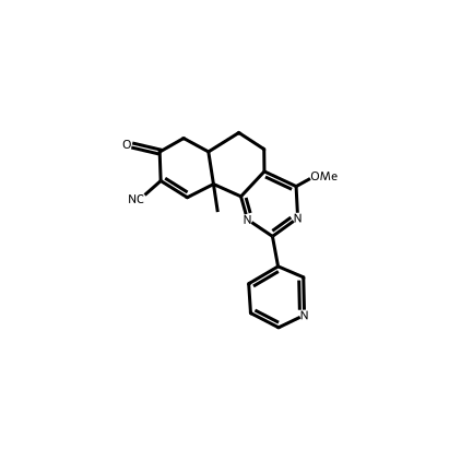 COc1nc(-c2cccnc2)nc2c1CCC1CC(=O)C(C#N)=CC21C